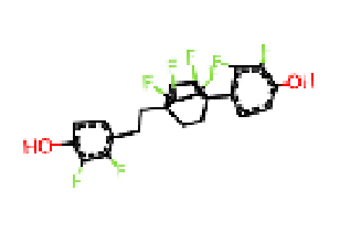 Oc1ccc(CCC23CCC(c4ccc(O)c(F)c4F)(CC2)C(F)(F)C3(F)F)c(F)c1F